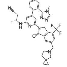 C[C@H](CC#N)Nc1cc(-c2ccccc2-c2nncn2C)cc(N2Cc3c(cc(CN4CCC5(CC5)C4)cc3C(F)(F)F)C2=O)n1